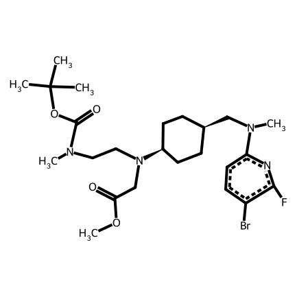 COC(=O)CN(CCN(C)C(=O)OC(C)(C)C)[C@H]1CC[C@@H](CN(C)c2ccc(Br)c(F)n2)CC1